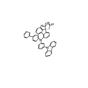 c1ccc(-c2ccc(N(c3cccc(-n4c5ccccc5c5ccccc54)c3)c3cccc4c3-c3ccccc3[C@]43C[C@H]4CC[C@@H]3C4)cc2)cc1